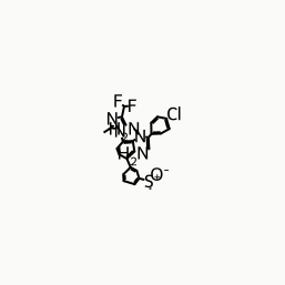 Cc1nc(C(F)F)cn1-c1ccc(-c2cccc([S+](C)[O-])c2)cc1N(N)/C(=C\N)c1ccc(Cl)cc1